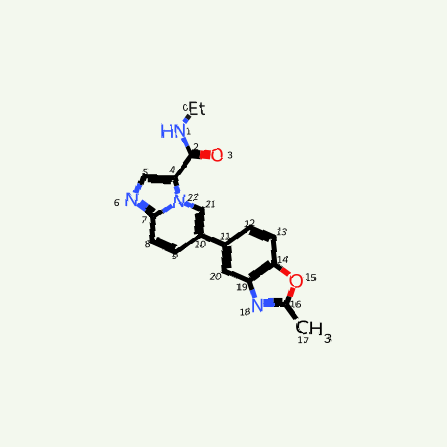 CCNC(=O)c1cnc2ccc(-c3ccc4oc(C)nc4c3)cn12